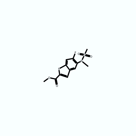 COC(=O)c1cc2cc(N(C)S(C)(=O)=O)c(F)cc2s1